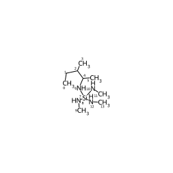 CCC(C)C(C)N[Si](NC)(NC)NC